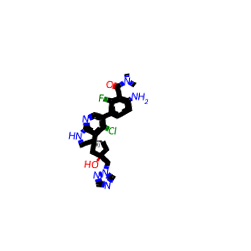 CN(C)C(=O)c1c(N)ccc(-c2cnc3c(c2Cl)[C@]2(CC[C@](O)(Cn4cncn4)C2)CN3)c1F